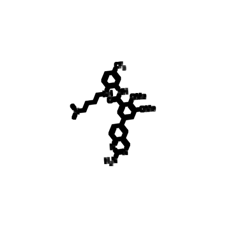 COc1cc(-c2ccc3nc(N)ncc3c2)cc(C(=O)Nc2cc(C(F)(F)F)ccc2NCCCCN(C)C)c1OC